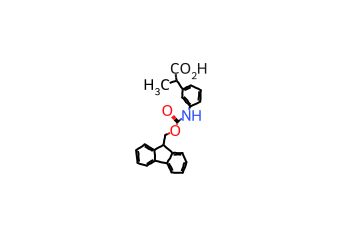 CC(C(=O)O)c1cccc(NC(=O)OCC2c3ccccc3-c3ccccc32)c1